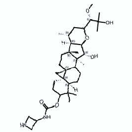 CO[C@@H](C1C[C@@H](C)[C@H]2C(O1)[C@H](O)[C@@]1(C)C3CC[C@H]4C(C)(C)C(OC(=O)NC5CNC5)CC[C@@]45C[C@@]35CC[C@]21C)C(C)(C)O